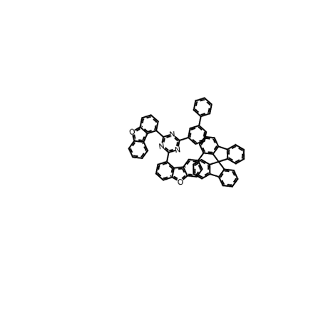 c1ccc(-c2cccc(-c3nc(-c4cccc5oc6ccccc6c45)nc(-c4cccc5oc6ccc(-c7cccc8c7C7(c9ccccc9-c9ccccc97)c7ccccc7-8)cc6c45)n3)c2)cc1